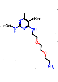 CCCCCCCCNc1nc(C)c(CCCCCC)c(NCCOCCOCCN)n1